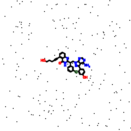 Nc1ncnc2c1c(-c1ccc(O)cc1)nn2CC(c1cccc(Cl)c1)c1nc2cccc(C#CCCCO)c2c(=O)[nH]1